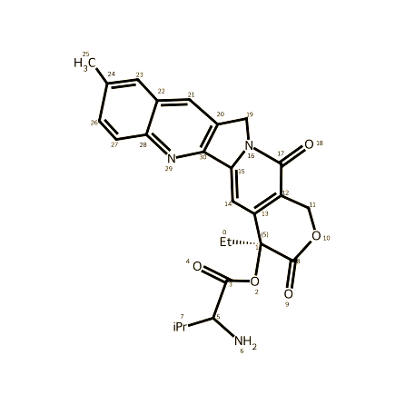 CC[C@@]1(OC(=O)C(N)C(C)C)C(=O)OCc2c1cc1n(c2=O)Cc2cc3cc(C)ccc3nc2-1